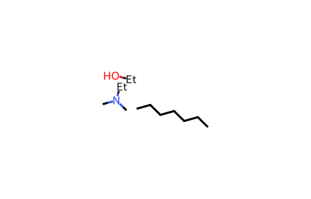 CCCCCCC.CCN(C)C.CCO